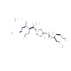 C=C/C=C(CC)\C(CCC)=C(/C)N1CCC(NNC(/C=C\CC)=C/C)C1